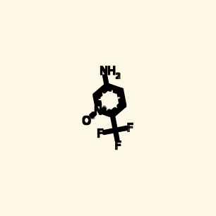 Nc1ccc(C(F)(F)F)[n+]([O-])c1